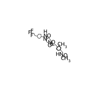 CC(=O)NCc1ccc(CCS(=O)(=O)N2CCC3(CC2)N=C(C2CCC(CCC(F)(F)F)CC2)NC3=O)c(C)c1